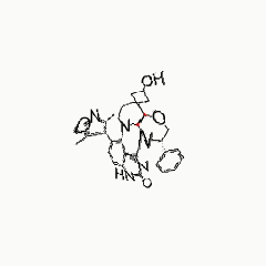 Cc1noc(C)c1-c1ccc2[nH]c(=O)nc(N3CCOC[C@@H]3c3ccccc3)c2c1N1CCC2(CC1)CC(O)C2